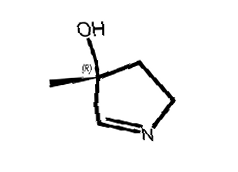 C[C@]1(O)C=NCC1